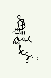 CC(C)COc1c(C(=O)N[C@H]2C3CC4CC2C[C@](O)(C4)C3)cnn1/C=C/C(C)(C)COC(N)=O